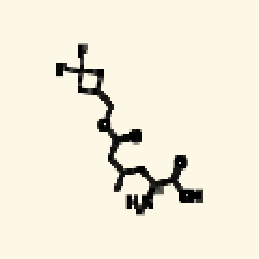 CC(CC(=O)OCC1CC(F)(F)C1)C[C@H](N)C(=O)O